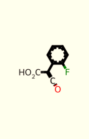 O=C=C(C(=O)O)c1ccccc1F